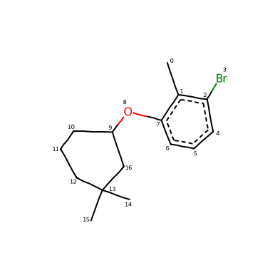 Cc1c(Br)cccc1OC1CCCC(C)(C)C1